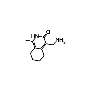 Cc1[nH]c(=O)c(CN)c2c1CCCC2